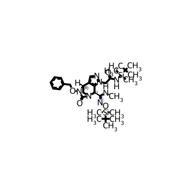 CN/C(=N\O[Si](C)(C)C(C)(C)C)[C@@H]1c2c(cnn2CC(=O)N[Si](C)(C)C(C)(C)C)[C@@H]2CN1C(=O)N2OCc1ccccc1